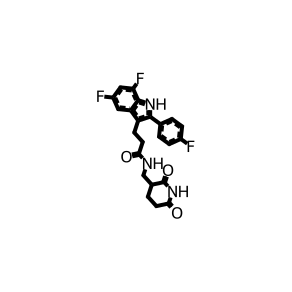 O=C(CCc1c(-c2ccc(F)cc2)[nH]c2c(F)cc(F)cc12)NCC1CCC(=O)NC1=O